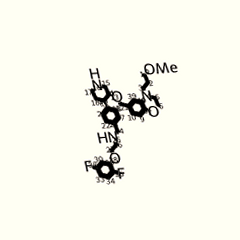 COCCCN1CCOc2ccc(CO[C@H]3CNCC[C@@H]3c3ccc(CNCCOc4cc(F)ccc4F)cc3)cc21